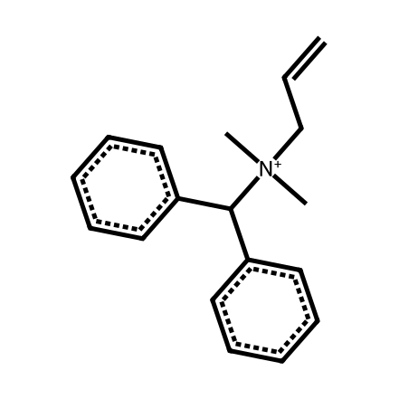 C=CC[N+](C)(C)C(c1ccccc1)c1ccccc1